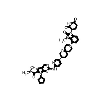 CN(C)C(=O)c1cc2cnc(Nc3ccc([C@H]4CCC5(CCN(c6cccc7c6n(C)c(=O)n7[C@@H]6CCC(=O)NC6=O)CC5)OC4)cn3)nc2n1C1CCCC1